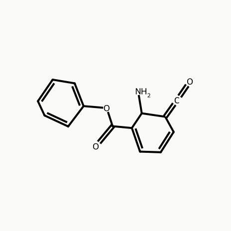 NC1C(=C=O)C=CC=C1C(=O)Oc1ccccc1